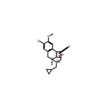 COc1cc2c(cc1Cl)C[C@H]1N(CC3CC3)CC[C@@]23CC(=O)NCC[C@@]13O